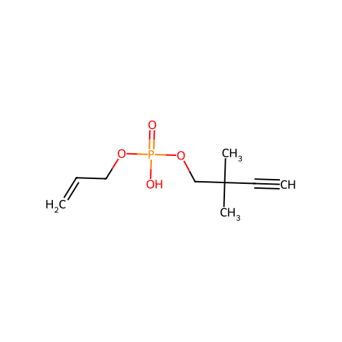 C#CC(C)(C)COP(=O)(O)OCC=C